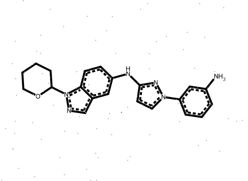 Nc1cccc(-n2ccc(Nc3ccc4c(cnn4C4CCCCO4)c3)n2)c1